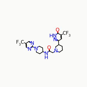 O=C(CN1CCCC(c2cc(C(F)(F)F)c(=O)[nH]n2)C1)NC1CCN(c2ncc(C(F)(F)F)cn2)CC1